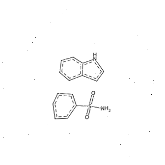 NS(=O)(=O)c1ccccc1.c1ccc2[nH]ccc2c1